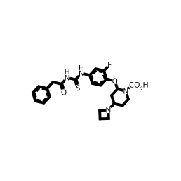 O=C(Cc1ccccc1)NC(=S)Nc1ccc(OC2CC(N3CCC3)CCN2C(=O)O)c(F)c1